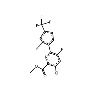 COC(=O)c1nc(-c2ccc(C(F)(F)F)cc2C)c(F)cc1Cl